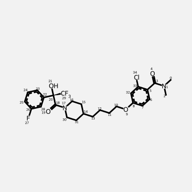 CN(C)C(=O)c1ccc(OCCCCC2CCN(C(=O)[C@@](O)(c3cccc(F)c3)C(F)(F)F)CC2)cc1Cl